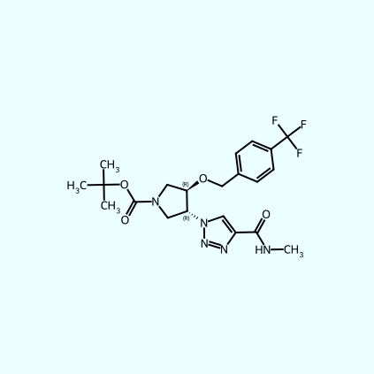 CNC(=O)c1cn([C@@H]2CN(C(=O)OC(C)(C)C)C[C@H]2OCc2ccc(C(F)(F)F)cc2)nn1